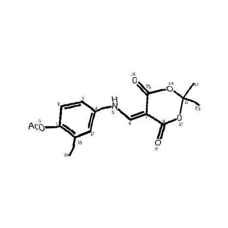 CC(=O)Oc1ccc(NC=C2C(=O)OC(C)(C)OC2=O)cc1C